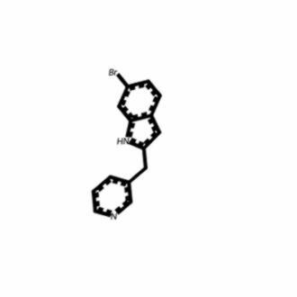 Brc1ccc2cc(Cc3cccnc3)[nH]c2c1